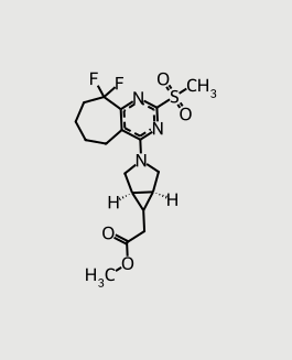 COC(=O)CC1[C@H]2CN(c3nc(S(C)(=O)=O)nc4c3CCCCC4(F)F)C[C@@H]12